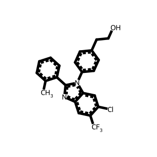 Cc1ccccc1-c1nc2cc(C(F)(F)F)c(Cl)cc2n1-c1ccc(CCO)cc1